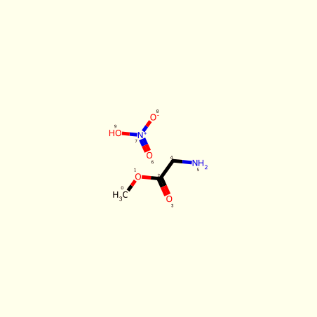 COC(=O)CN.O=[N+]([O-])O